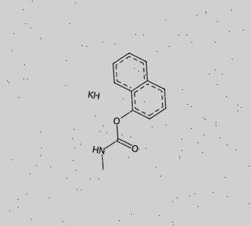 CNC(=O)Oc1cccc2ccccc12.[KH]